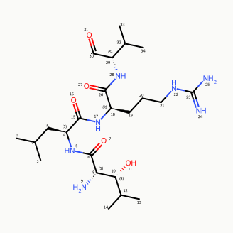 CC(C)C[C@H](NC(=O)[C@@H](N)[C@H](O)C(C)C)C(=O)N[C@H](CCCNC(=N)N)C(=O)N[C@H]([C]=O)C(C)C